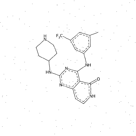 Cc1cc(Nc2nc(NC3CCNCC3)nc3cc[nH]c(=O)c23)cc(C(F)(F)F)c1